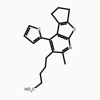 Cc1nc2sc3c(c2c(-c2ccco2)c1CCCCC(=O)O)CCC3